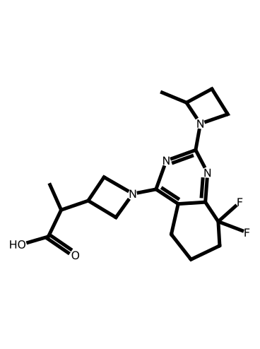 CC(C(=O)O)C1CN(c2nc(N3CCC3C)nc3c2CCCC3(F)F)C1